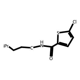 CC(C)CCCNC(=O)c1ccc(Cl)s1